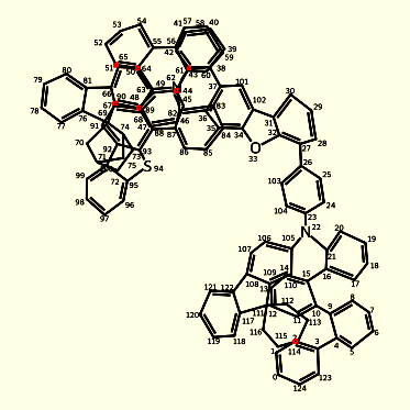 c1ccc(-c2ccccc2-c2ccccc2-c2ccccc2N(c2ccc(-c3cccc4c3oc3ccc(-c5ccccc5-c5ccccc5-c5ccccc5-c5ccccc5N(c5ccc6c(c5)C5(CC7CCC5C7)c5ccccc5-6)c5ccccc5-c5cccc6c5sc5ccccc56)cc34)cc2)c2ccc3c(c2)C2(CCCCC2)c2ccccc2-3)cc1